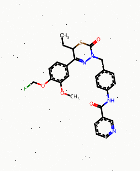 CCC1SC(=O)N(Cc2ccc(NC(=O)c3cccnc3)cc2)N=C1c1ccc(OCF)c(OC)c1